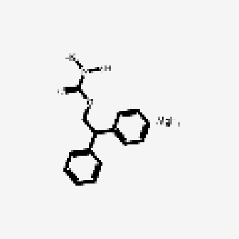 O=C(OCC(c1ccccc1)c1ccccc1)N(S)S.[MgH2]